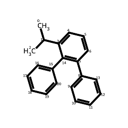 CC(C)c1cccc(-c2ccccc2)c1-c1ccccc1